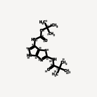 CC(C)(C)OC(=O)Nc1n[nH]c2nc(NC(=O)C(C)(C)C)sc12